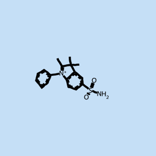 CC1=[N+](c2ccccc2)c2ccc(S(N)(=O)=O)cc2C1(C)C